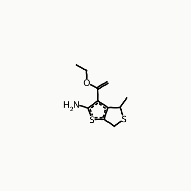 C=C(OCC)c1c(N)sc2c1C(C)SC2